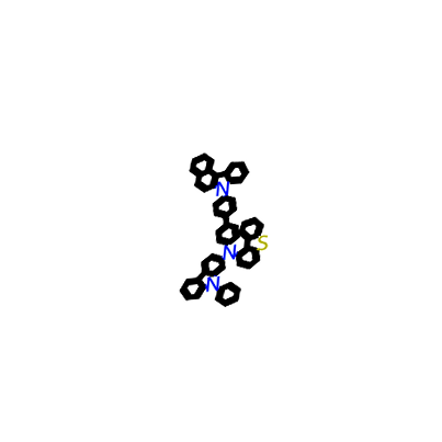 c1ccc(-n2c3ccccc3c3ccc(N(c4ccc(-c5ccc(-n6c7ccccc7c7c8ccccc8ccc76)cc5)cc4)c4cccc5sc6ccccc6c45)cc32)cc1